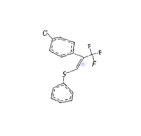 FC(F)(F)/C(=C/Sc1ccccc1)c1ccc(Cl)cc1